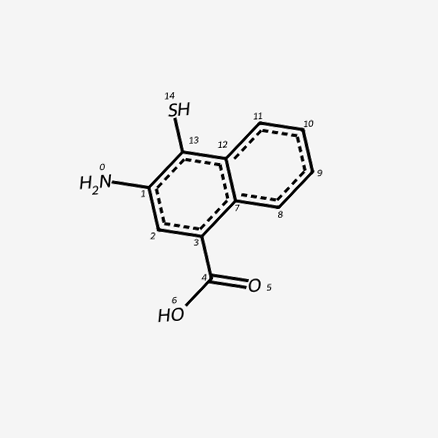 Nc1cc(C(=O)O)c2ccccc2c1S